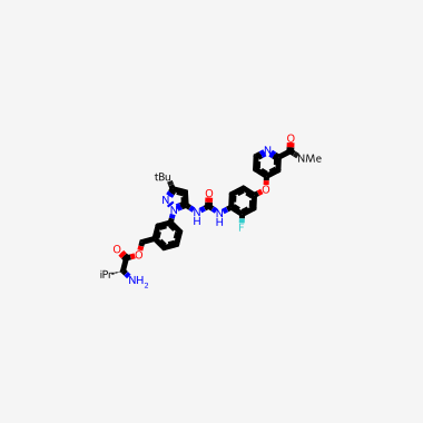 CNC(=O)c1cc(Oc2ccc(NC(=O)Nc3cc(C(C)(C)C)nn3-c3cccc(COC(=O)[C@H](N)C(C)C)c3)c(F)c2)ccn1